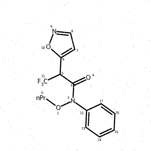 CCCON(C(=O)C(c1ccno1)C(F)(F)F)c1ccccc1